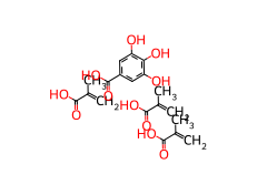 C=C(C)C(=O)O.C=C(C)C(=O)O.C=C(C)C(=O)O.O=C(O)c1cc(O)c(O)c(O)c1